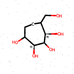 OCC1CCC(O)[C@H](O)C(O)[C@@H]1O